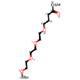 CCCCOCCOCCOCCOCCCC(=O)OC